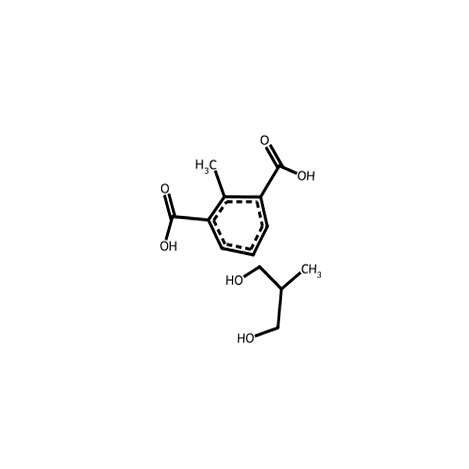 CC(CO)CO.Cc1c(C(=O)O)cccc1C(=O)O